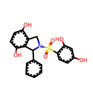 O=S(=O)(c1ccc(O)cc1O)N1Cc2c(O)ccc(O)c2C1c1ccccc1